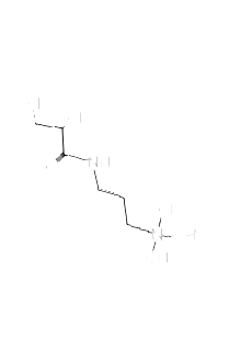 C[N+](C)(C)CCCNC(=O)C(Cl)CCl